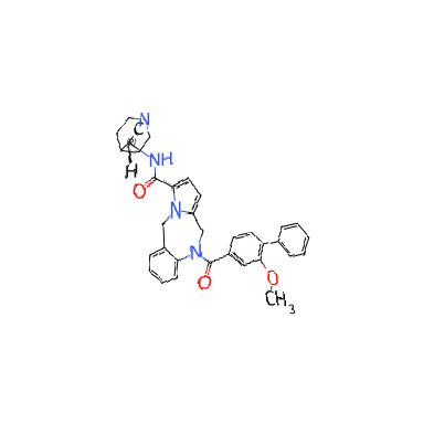 COc1cc(C(=O)N2Cc3ccc(C(=O)N[C@H]4CN5CCC4CC5)n3Cc3ccccc32)ccc1-c1ccccc1